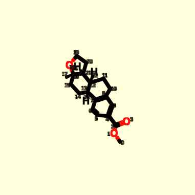 COC(=O)c1ccc2c(c1)CC[C@@H]1[C@@H]2CC[C@]2(C)OCC[C@@H]12